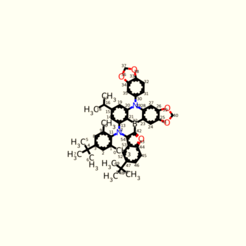 Cc1cc(C(C)(C)C)cc(C)c1N1c2cc(C(C)C)cc3c2B(c2cc4c(cc2N3c2ccc3c(c2)OCO3)OCO4)c2oc3ccc(C(C)(C)C)cc3c21